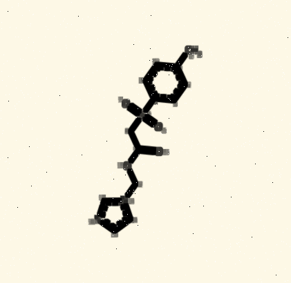 Cc1ccc(S(=O)(=O)CC(=O)OCn2ccnc2)cc1